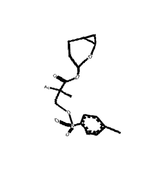 CC(=O)C(C)(COS(=O)(=O)c1ccc(C)cc1)C(=O)OC1CCC2CC2O1